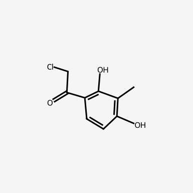 Cc1c(O)ccc(C(=O)CCl)c1O